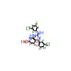 O=C(/N=C(/Nc1cc(F)cc(Cl)c1)Nc1cccc(O)n1)c1cccc(Cl)c1